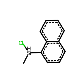 C[SiH](Cl)c1cccc2ccccc12